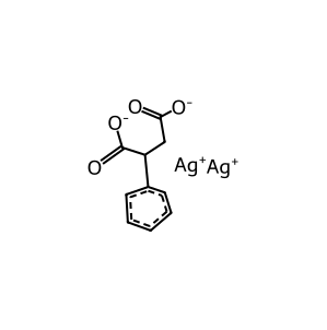 O=C([O-])CC(C(=O)[O-])c1ccccc1.[Ag+].[Ag+]